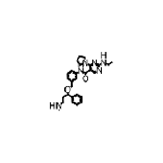 CCNc1ncc(C(=O)Nc2cccc(COC(CCNC)c3ccccc3)c2)c(N2CCCC2)n1